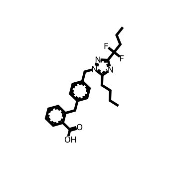 CCCCc1nc(C(F)(F)CCC)nn1Cc1ccc(Cc2ccccc2C(=O)O)cc1